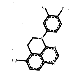 Nc1ccc2ncnc3c2c1CCN3c1ccc(F)c(Cl)c1